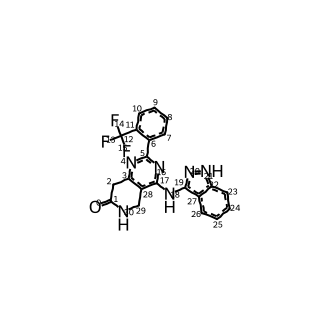 O=C1Cc2nc(-c3ccccc3C(F)(F)F)nc(Nc3n[nH]c4ccccc34)c2CN1